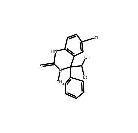 CCC(O)C1(c2ccccc2)c2cc(Cl)ccc2NC(=S)N1C